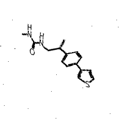 CNC(=O)NCC(C)c1ccc(-c2ccsc2)cc1